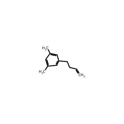 C=CCCc1cc(C)cc(C)c1